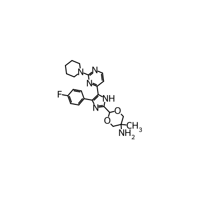 CC1(N)COC(c2nc(-c3ccc(F)cc3)c(-c3ccnc(N4CCCCC4)n3)[nH]2)OC1